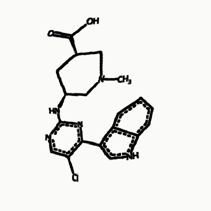 CN1C[C@@H](Nc2ncc(Cl)c(-c3c[nH]c4ccccc34)n2)C[C@@H](C(=O)O)C1